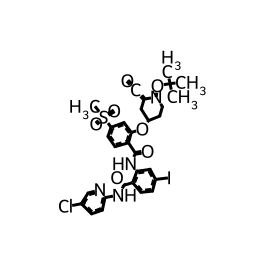 CC(C)(C)ON1CCC(Oc2cc(S(C)(=O)=O)ccc2C(=O)Nc2cc(I)ccc2C(=O)Nc2ccc(Cl)cn2)CC1=C=O